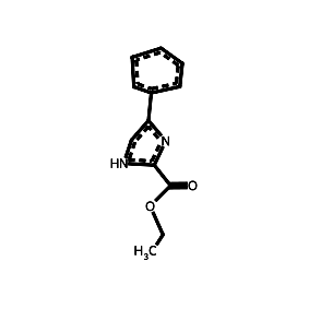 CCOC(=O)c1nc(-c2ccccc2)c[nH]1